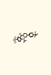 CC(C)Oc1ccc(S(C)(=O)=O)cc1C(=O)N1CCN(c2ccc(C(F)(F)F)nc2)CC1